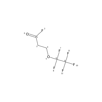 O=C(F)CCOC(F)(F)C(F)(F)F